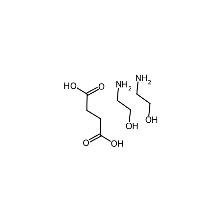 NCCO.NCCO.O=C(O)CCC(=O)O